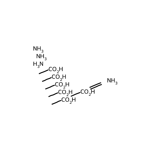 C=C.CC(=O)O.CC(=O)O.CC(=O)O.CC(=O)O.CC(=O)O.CC(=O)O.N.N.N.N